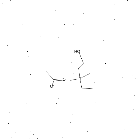 CC(=O)[O-].CC[N+](C)(C)CCO